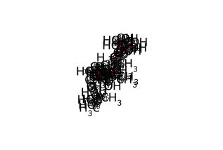 CC[C@@H](C)[C@@H](CC(=O)C[C@@H](O)C[C@H](O[C@@H]1O[C@@H](CC)[C@@H](O)C1O)[C@H](C)CC)C[C@H](O)CC(=O)N[C@H]1C(CO)O[C@@H](OC(=O)[C@]23CCC(C)(C)CC2C2=CCC4C5(C)CC[C@H](O[C@@H]6OC[C@@H](O)[C@H](O[C@@H]7OC[C@@H](O)[C@H](O)C7O)C6O[C@@H]6OC(CO)[C@H](O)[C@H](O)C6O)[C@](C)(C=O)[C@@H]5CC[C@]4(C)[C@]2(C)CC3O)[C@H](O[C@@H]2OC(C)[C@H](O[C@@H]3OC[C@@H](O)C(O)[C@H]3O)C(O)[C@@H]2O)C1O